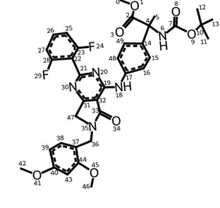 COC(=O)C(C)(NC(=O)OC(C)(C)C)c1ccc(Nc2nc(-c3c(F)cccc3F)nc3c2C(=O)N(Cc2ccc(OC)cc2OC)C3)cc1